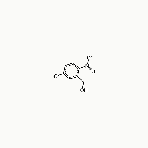 [O]c1ccc([N+](=O)[O-])c(CO)c1